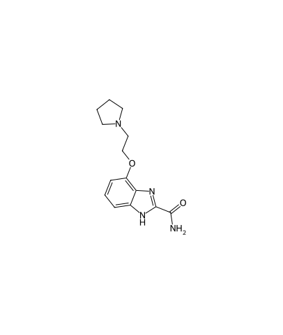 NC(=O)c1nc2c(OCCN3CCCC3)cccc2[nH]1